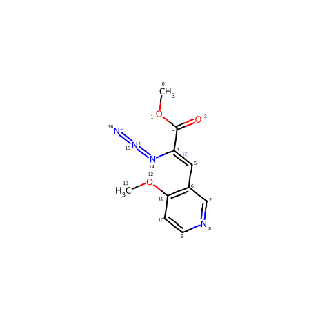 COC(=O)/C(=C/c1cnccc1OC)N=[N+]=[N-]